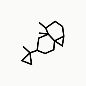 CC1CCC2CC23CCC(C2(C)CC2)CC13C